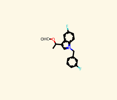 CC(OC=O)c1cn(Cc2cccc(F)c2)c2ccc(F)cc12